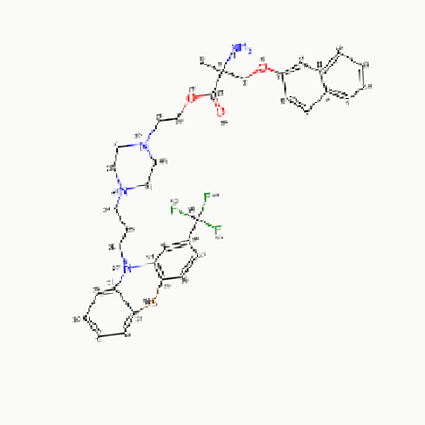 CC(N)(COc1ccc2ccccc2c1)C(=O)OCCN1CCN(CCCN2c3ccccc3Sc3ccc(C(F)(F)F)cc32)CC1